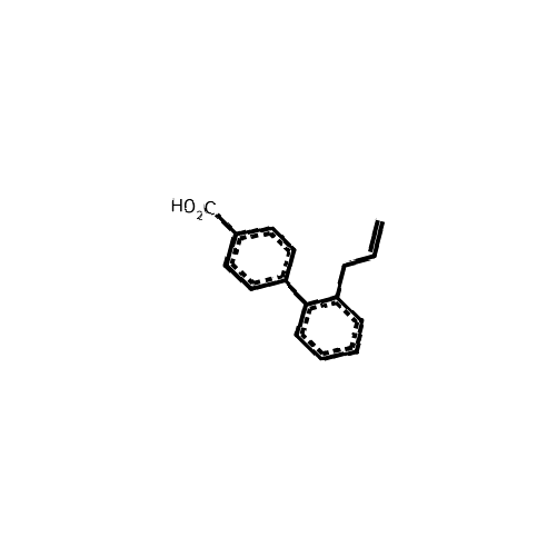 C=CCc1ccccc1-c1ccc(C(=O)O)cc1